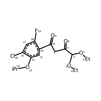 CCOC(OCC)C(=O)CC(=O)c1cc(OC(C)C)c(Cl)cc1F